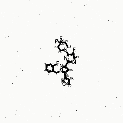 Fc1ccccc1Cn1nc(-c2ncc(F)c(N3CCC(F)(F)CC3)n2)cc1-c1ccon1